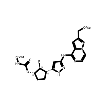 CCCCCNC(=O)O[C@H]1CC[C@@H](c2cc(Nc3nccn4nc(COC)cc34)n[nH]2)[C@@H]1F